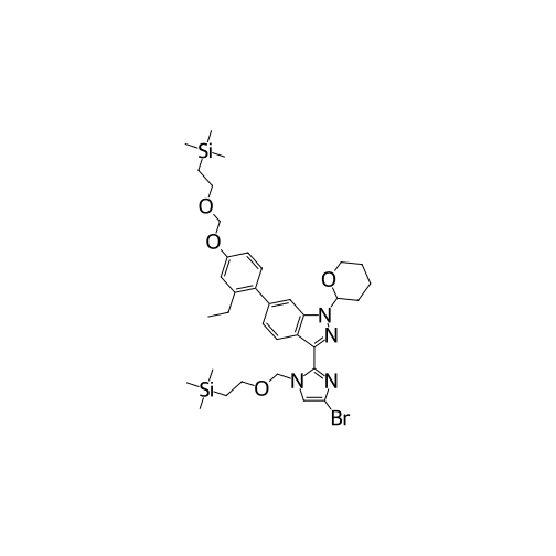 CCc1cc(OCOCC[Si](C)(C)C)ccc1-c1ccc2c(-c3nc(Br)cn3COCC[Si](C)(C)C)nn(C3CCCCO3)c2c1